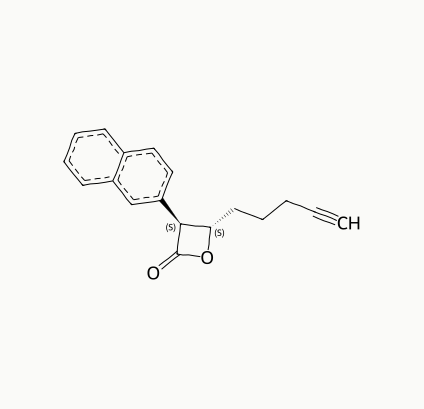 C#CCCC[C@@H]1OC(=O)[C@H]1c1ccc2ccccc2c1